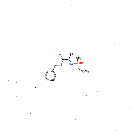 COCP(C)(=O)NC(C)C(=O)OCc1ccccc1